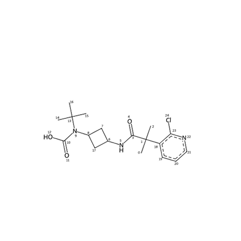 CC(C)(C(=O)NC1CC(N(C(=O)O)C(C)(C)C)C1)c1cccnc1Cl